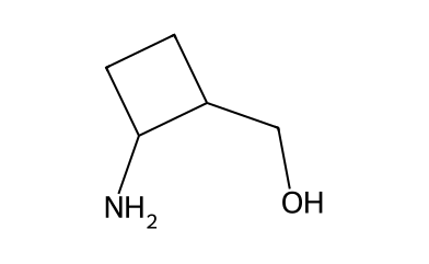 NC1CCC1CO